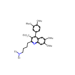 CCOC(=O)c1c(CCCCN(CC)CC)nc2cc(OC)c(OC)cc2c1-c1ccc(OC)c(OC)c1